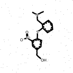 CN(C)Cc1ccccc1Sc1ccc(CO)cc1[N+](=O)[O-]